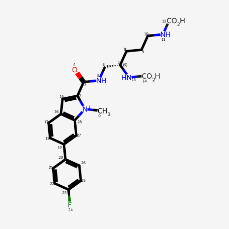 Cn1c(C(=O)NC[C@H](CCCNC(=O)O)NC(=O)O)cc2ccc(-c3ccc(F)cc3)cc21